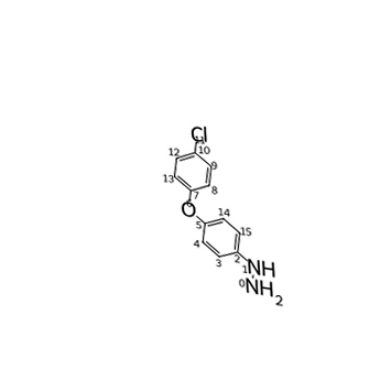 NNc1ccc(Oc2ccc(Cl)cc2)cc1